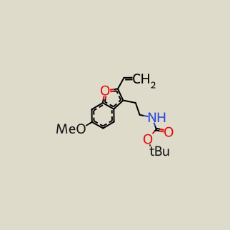 C=Cc1oc2cc(OC)ccc2c1CCNC(=O)OC(C)(C)C